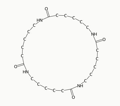 O=C1CCCCCNC(=O)CCCCCNC(=O)CCCCCNC(=O)CCCCCN1